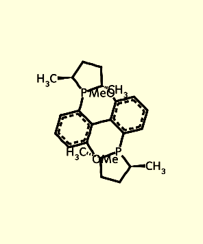 COc1cccc(P2[C@@H](C)CC[C@@H]2C)c1-c1c(OC)cccc1P1[C@@H](C)CC[C@@H]1C